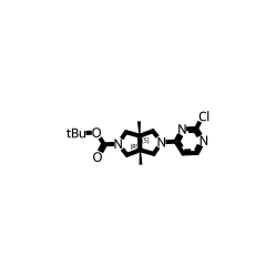 CC(C)(C)OC(=O)N1C[C@@]2(C)CN(c3ccnc(Cl)n3)C[C@@]2(C)C1